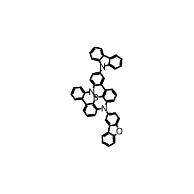 c1ccc2c(c1)-c1cccc3c1B1c4c(cccc4N3c3ccc4oc5ccccc5c4c3)-c3cc(-n4c5ccccc5c5ccccc54)ccc3N12